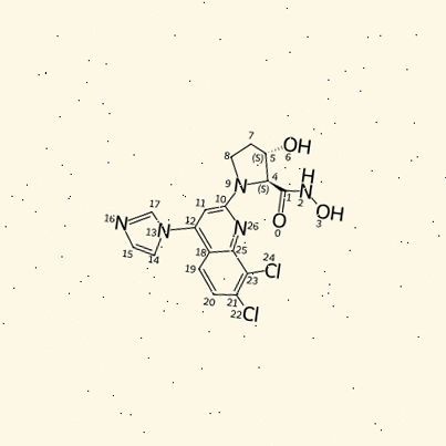 O=C(NO)[C@@H]1[C@@H](O)CCN1c1cc(-n2ccnc2)c2ccc(Cl)c(Cl)c2n1